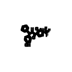 O=C(NC(c1ccccc1)c1ccc(O)cc1)c1ccc(C(F)(F)F)[nH]c1=O